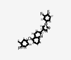 Cc1cc(Oc2cccc3nc(-c4cn(-c5ccc(F)c(F)c5)nn4)ccc23)ccc1F